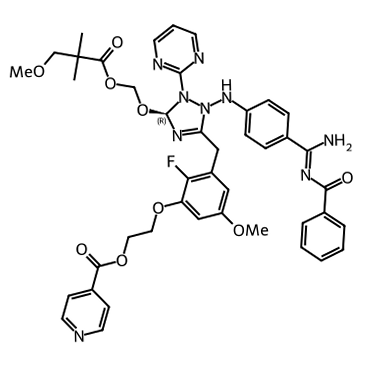 COCC(C)(C)C(=O)OCO[C@@H]1N=C(Cc2cc(OC)cc(OCCOC(=O)c3ccncc3)c2F)N(Nc2ccc(C(N)=NC(=O)c3ccccc3)cc2)N1c1ncccn1